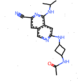 CC(=O)NC1CC(Nc2cc3c(NC(C)C)nc(C#N)cc3cn2)C1